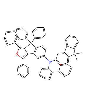 CC1(C)c2ccccc2-c2cc(N(c3ccc4c(c3)-c3c(-c5ccccc5)oc(-c5ccccc5)c3C4(c3ccccc3)c3ccccc3)c3ccccc3-c3ccccc3)ccc21